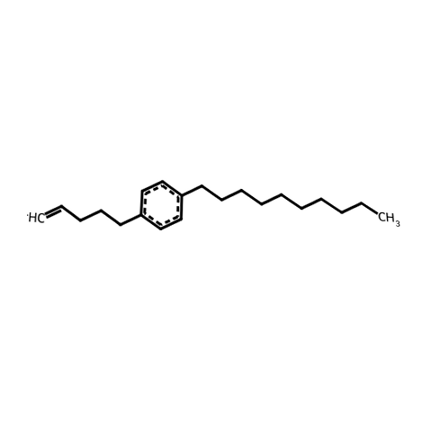 [CH]=CCCCc1ccc(CCCCCCCCCC)cc1